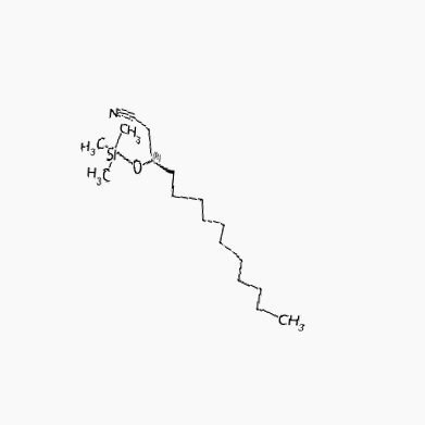 CCCCCCCCCCC[C@H](CC#N)O[Si](C)(C)C